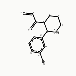 O=CC(=O)C1CCCNC1c1cccc(Br)c1